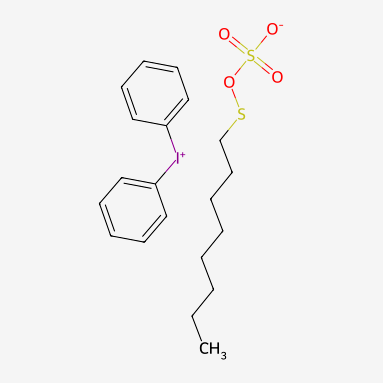 CCCCCCCCSOS(=O)(=O)[O-].c1ccc([I+]c2ccccc2)cc1